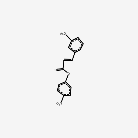 CC(=O)Oc1cccc(C=CC(=O)Oc2ccc([N+](=O)[O-])cc2)c1